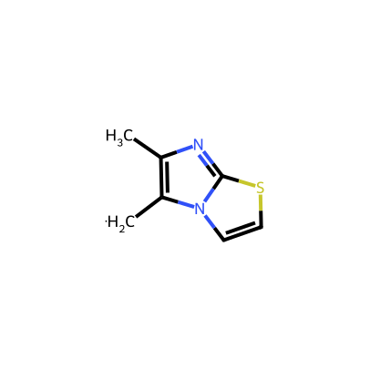 [CH2]c1c(C)nc2sccn12